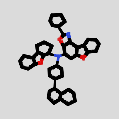 c1ccc(-c2nc3c(o2)c(N(c2ccc(-c4cccc5ccccc45)cc2)c2cccc4c2oc2ccccc24)cc2oc4ccccc4c23)cc1